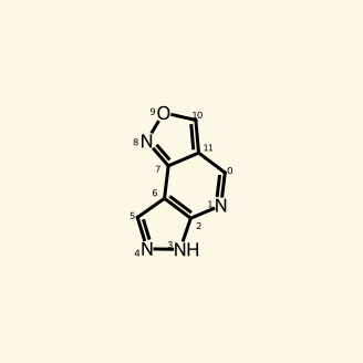 c1nc2[nH]ncc2c2nocc12